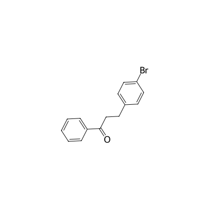 O=C(CCc1ccc(Br)cc1)c1ccccc1